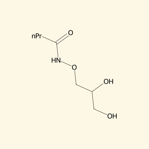 CCCC(=O)NOCC(O)CO